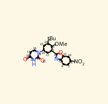 COc1c(-c2nc3ccc([N+](=O)[O-])cc3o2)cc(-n2ccc(=O)[nH]c2=O)cc1C(C)(C)C